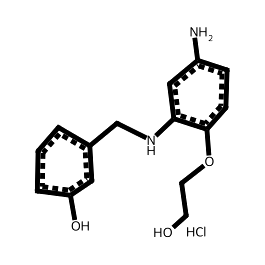 Cl.Nc1ccc(OCCO)c(NCc2cccc(O)c2)c1